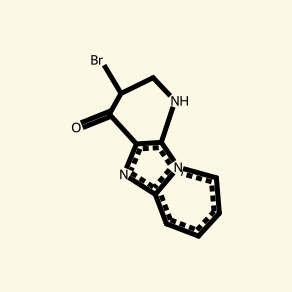 O=C1c2nc3ccccn3c2NCC1Br